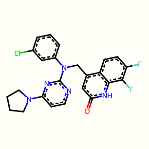 O=c1cc(CN(c2cccc(Cl)c2)c2nccc(N3CCCC3)n2)c2ccc(F)c(F)c2[nH]1